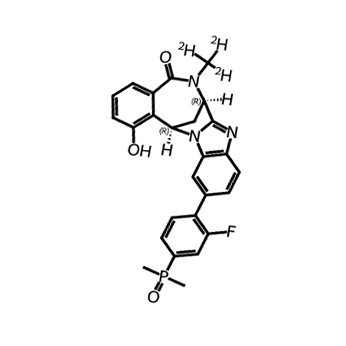 [2H]C([2H])([2H])N1C(=O)c2cccc(O)c2[C@H]2C[C@@H]1c1nc3ccc(-c4ccc(P(C)(C)=O)cc4F)cc3n12